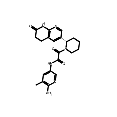 Cc1cc(NC(=O)C(=O)N2CCCC[C@H]2c2cnc3c(c2)CCC(=O)N3)cnc1N